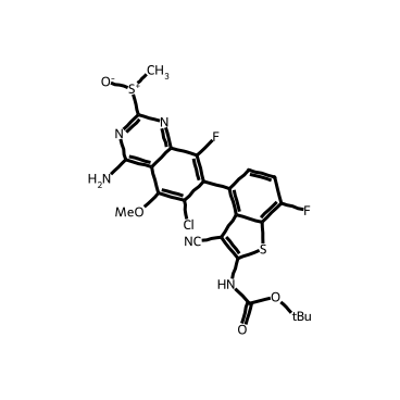 COc1c(Cl)c(-c2ccc(F)c3sc(NC(=O)OC(C)(C)C)c(C#N)c23)c(F)c2nc([S+](C)[O-])nc(N)c12